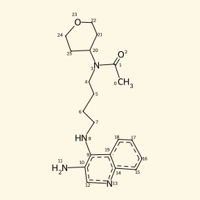 CC(=O)N(CCCCNc1c(N)cnc2ccccc12)C1CCOCC1